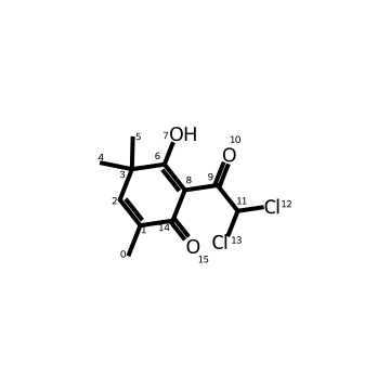 CC1=CC(C)(C)C(O)=C(C(=O)C(Cl)Cl)C1=O